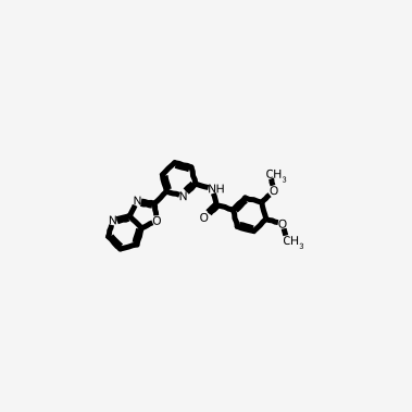 COC1C=CC(C(=O)Nc2cccc(-c3nc4ncccc4o3)n2)=CC1OC